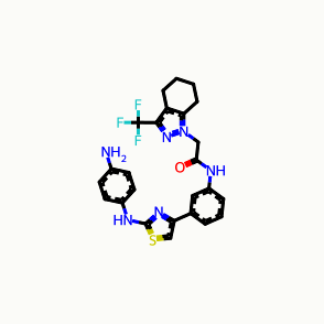 Nc1ccc(Nc2nc(-c3cccc(NC(=O)Cn4nc(C(F)(F)F)c5c4CCCC5)c3)cs2)cc1